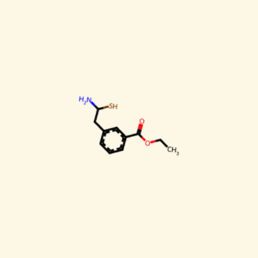 CCOC(=O)c1cccc(CC(N)S)c1